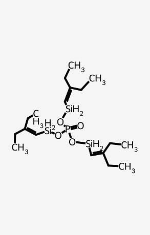 CCC(=C[SiH2]OP(=O)(O[SiH2]C=C(CC)CC)O[SiH2]C=C(CC)CC)CC